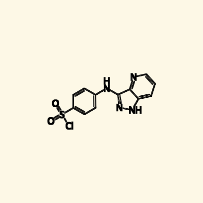 O=S(=O)(Cl)c1ccc(Nc2n[nH]c3cccnc23)cc1